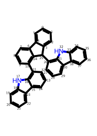 c1ccc2c(c1)-c1cccc(-c3cccc4c3[nH]c3ccccc34)c1C2c1cccc2c1[nH]c1ccccc12